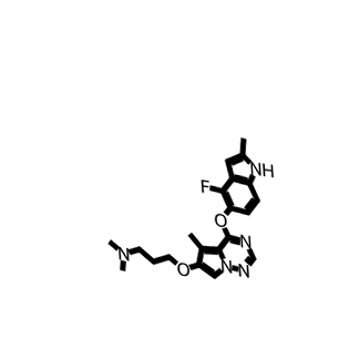 Cc1cc2c(F)c(Oc3ncnn4cc(OCCCN(C)C)c(C)c34)ccc2[nH]1